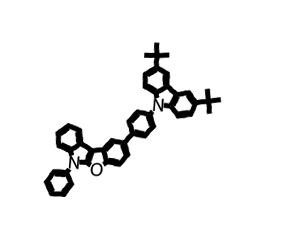 CC(C)(C)c1ccc2c(c1)c1cc(C(C)(C)C)ccc1n2-c1ccc(-c2ccc3oc4c(c3c2)c2ccccc2n4-c2ccccc2)cc1